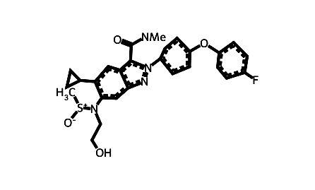 CNC(=O)c1c2cc(C3CC3)c(N(CCO)[S+](C)[O-])cc2nn1-c1ccc(Oc2ccc(F)cc2)cc1